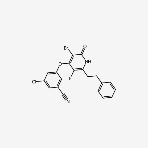 N#Cc1cc(Cl)cc(Oc2c(F)c(CCc3ccccc3)[nH]c(=O)c2Br)c1